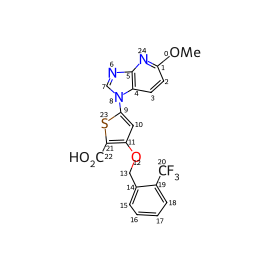 COc1ccc2c(ncn2-c2cc(OCc3ccccc3C(F)(F)F)c(C(=O)O)s2)n1